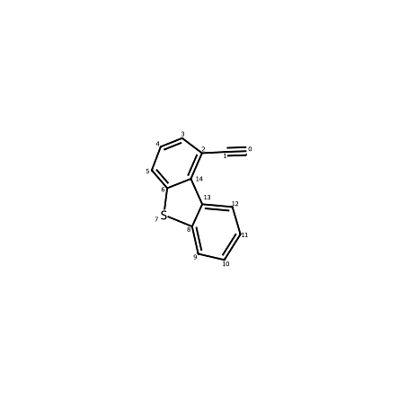 [C]#Cc1cccc2sc3ccccc3c12